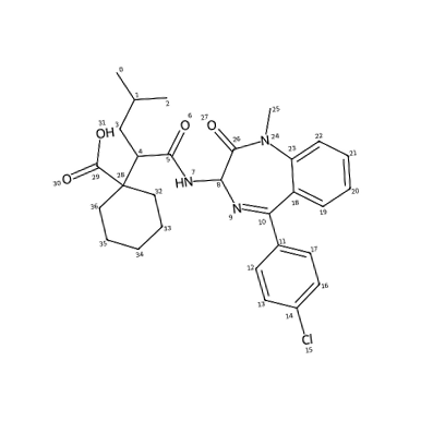 CC(C)CC(C(=O)NC1N=C(c2ccc(Cl)cc2)c2ccccc2N(C)C1=O)C1(C(=O)O)CCCCC1